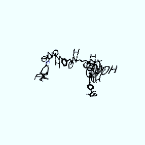 COc1cnc(C(=O)NCc2cccc(CC(=O)NCCCCC(=O)N[C@H](C(=O)N3C[C@H](O)C[C@H]3C(=O)NCc3ccc(-c4sccc4C)cc3)C(C)(C)C)c2)cc1/C=C/C1CCC(F)(F)CC1